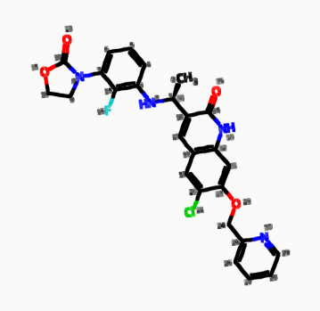 C[C@H](Nc1cccc(N2CCOC2=O)c1F)c1cc2cc(Cl)c(OCc3ccccn3)cc2[nH]c1=O